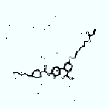 C=CC(=O)OCCCCCCOc1ccc(C(=O)O)c(-c2ccc(OC(=O)C3CCC(CCCCC)CC3)c(C)c2)c1